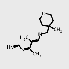 CC(=N/C=N)/C(C)=C/NCC1(C)CCOCC1